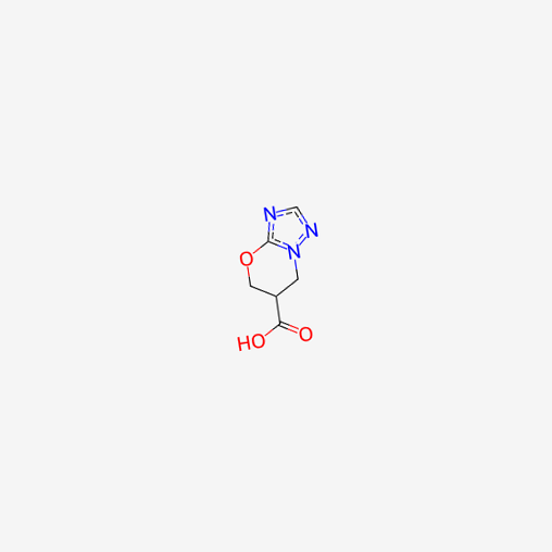 O=C(O)C1COc2ncnn2C1